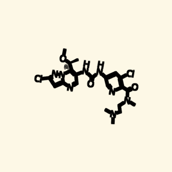 CO[C@@H](C)c1c(NC(=O)Nc2cnc(C(=O)N(C)CCN(C)C)c(Cl)c2)cnc2cc(Cl)nn12